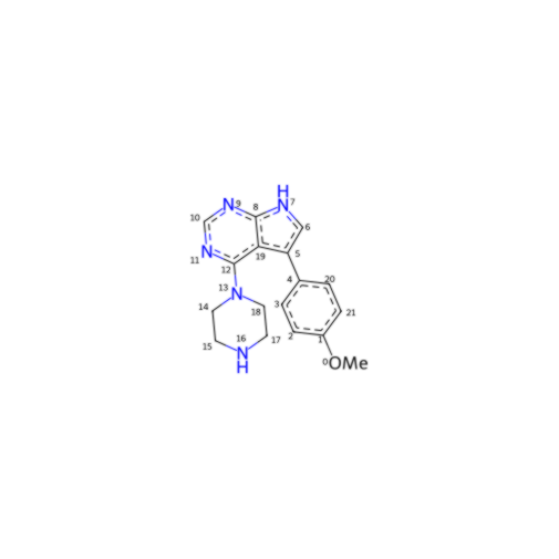 COc1ccc(-c2c[nH]c3ncnc(N4CCNCC4)c23)cc1